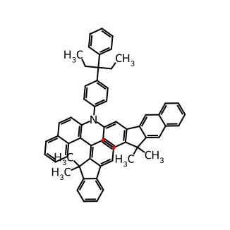 CCC(CC)(c1ccccc1)c1ccc(N(C2=CC3=C(CC2)C(C)(C)c2cc4ccccc4cc23)c2ccc3ccccc3c2-c2c#ccc3c2C(C)(C)c2ccccc2-3)cc1